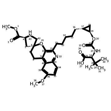 COC(=O)[C@@H]1C[C@]2(CCc3c(c(CCCCC[C@@H]4C[C@H]4OC(=O)N[C@H](C(=O)O)C(C)(C)C)nc4ccc(OC)cc34)O2)CN1